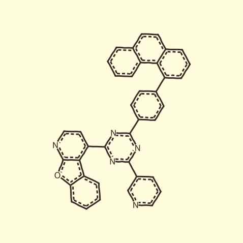 c1cncc(-c2nc(-c3ccc(-c4cccc5ccc6ccccc6c45)cc3)nc(-c3ccnc4oc5ccccc5c34)n2)c1